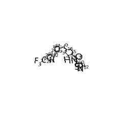 CC(=C1CCC(C(=O)Nc2cc(C)ns2)CC1)c1cccc(Cc2ccc(C(F)(F)F)cn2)c1